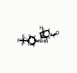 O=CN1C[C@H]2C[C@@H](Nc3ccc(C(F)(F)F)nc3)[C@@H]1C2